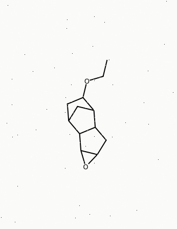 [CH2]COC1CC2CC1C1CC3OC3C21